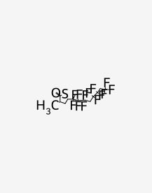 CC1CC(C(F)(F)C(F)(F)C(F)(F)CC(F)(F)C(F)(F)CC(F)(F)F)SC1=O